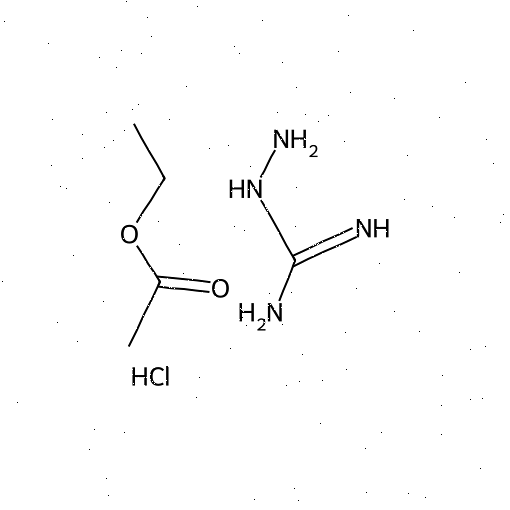 CCOC(C)=O.Cl.N=C(N)NN